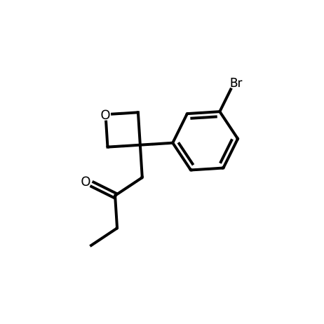 CCC(=O)CC1(c2cccc(Br)c2)COC1